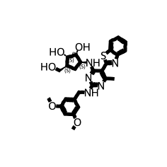 COc1cc(CNc2nc(C)c(-c3nc4ccccc4s3)c(N[C@H]3C[C@@H](CO)[C@H](O)[C@@H]3O)n2)cc(OC)c1